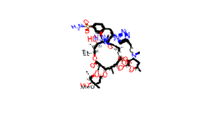 CC[C@H]1OC(=O)[C@H](C)[C@@H](O[C@H]2C[C@@](C)(OC)[C@@H](O)[C@H](C)O2)[C@H](C)[C@@H](O[C@@H]2O[C@H](C)C[C@H](N(C)CCc3cn(C(Cc4ccc(S(N)(=O)=O)cc4)C(N)=O)nn3)[C@H]2O)[C@](C)(O)C[C@@H](C)CN(C)[C@H](C)[C@@H](O)[C@H]1C